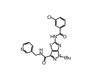 CC(C)(C)n1nc(C(=O)NCc2cccnc2)c2sc(NC(=O)c3cccc(Cl)c3)nc21